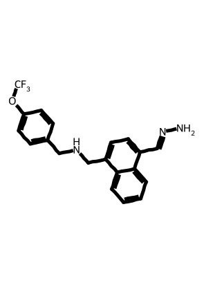 NN=Cc1ccc(CNCc2ccc(OC(F)(F)F)cc2)c2ccccc12